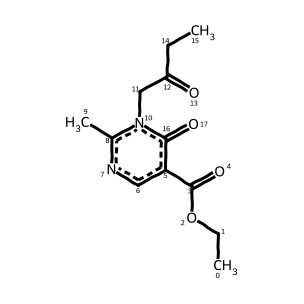 CCOC(=O)c1cnc(C)n(CC(=O)CC)c1=O